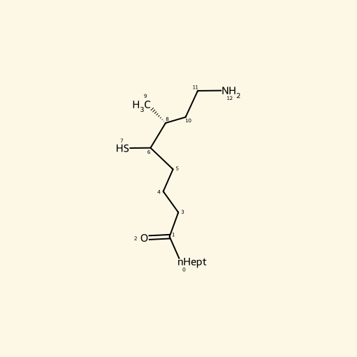 CCCCCCCC(=O)CCCC(S)[C@H](C)CCN